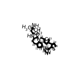 CC(C)(N)CC(=O)N[C@@H]1CCc2ccccc2N(Cc2ccc(-c3ccsc3-c3nnn[nH]3)cc2)C1=O